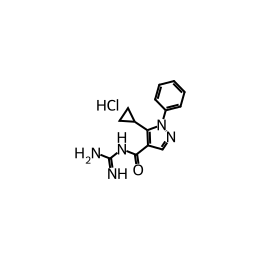 Cl.N=C(N)NC(=O)c1cnn(-c2ccccc2)c1C1CC1